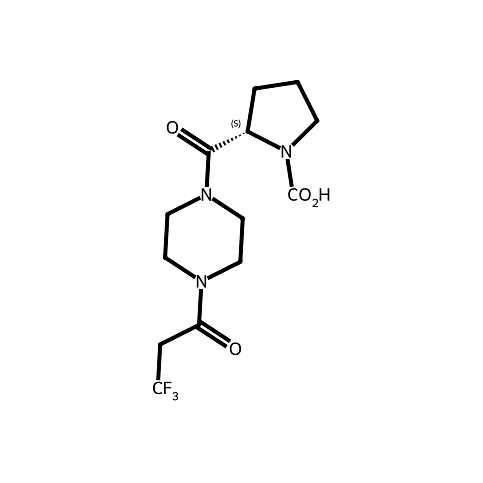 O=C(CC(F)(F)F)N1CCN(C(=O)[C@@H]2CCCN2C(=O)O)CC1